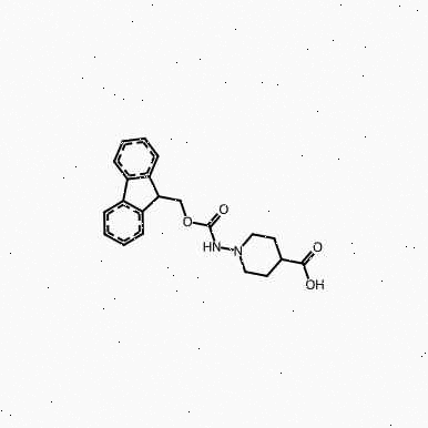 O=C(NN1CCC(C(=O)O)CC1)OCC1c2ccccc2-c2ccccc21